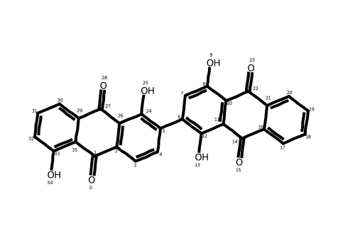 O=C1c2ccc(-c3cc(O)c4c(c3O)C(=O)c3ccccc3C4=O)c(O)c2C(=O)c2cccc(O)c21